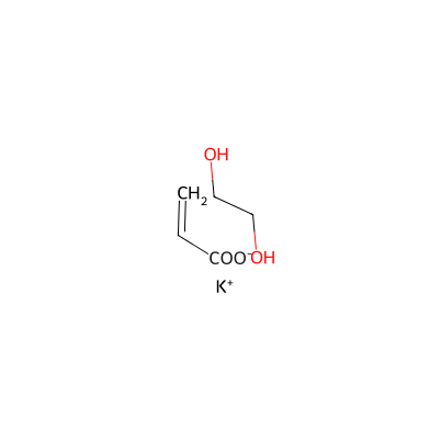 C=CC(=O)[O-].OCCO.[K+]